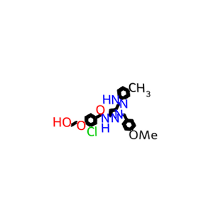 COc1ccc(Cn2nc(NC(=O)c3ccc(OCCO)c(Cl)c3)cc2-c2nc3cc(C)ccc3[nH]2)cc1